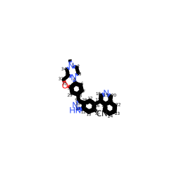 CN1CCN2c3ccc(-c4n[nH]c5cc(C#N)c(-c6cncc7ccccc67)cc45)cc3OCC2C1